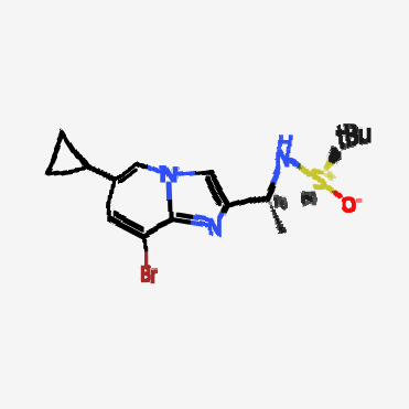 C[C@@H](N[S@+]([O-])C(C)(C)C)c1cn2cc(C3CC3)cc(Br)c2n1